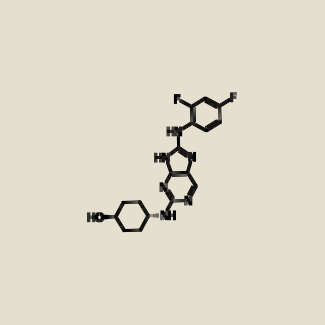 O[C@H]1CC[C@H](Nc2ncc3nc(Nc4ccc(F)cc4F)[nH]c3n2)CC1